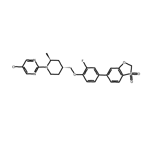 C[C@H]1C[C@H](COc2ccc(-c3ccc4c(c3)OCS4(=O)=O)cc2F)CCN1c1ncc(Cl)cn1